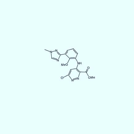 COC(=O)c1nnc(Cl)cc1Nc1cccc(-c2ncn(C)n2)c1OC